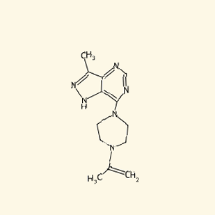 C=C(C)N1CCN(c2ncnc3c(C)n[nH]c23)CC1